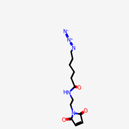 [N-]=[N+]=NCCCCCC(=O)NCCN1C(=O)C=CC1=O